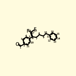 O=Cc1ccc(C(CCCCc2ccccc2)=C(F)F)cc1